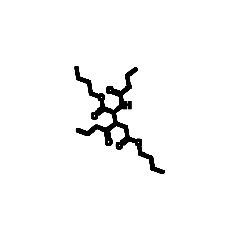 CCCCOC(=O)CC(C(=O)CCC)[C@H](NC(=O)CCC)C(=O)OCCCC